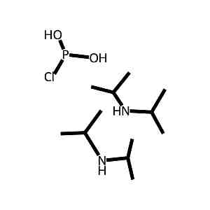 CC(C)NC(C)C.CC(C)NC(C)C.OP(O)Cl